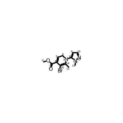 COC(=O)C1=CCN(c2ccnn2C)C(C)=C1Br